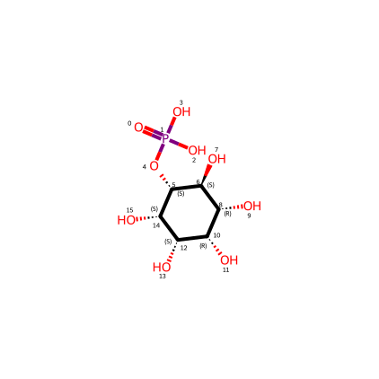 O=P(O)(O)O[C@@H]1[C@@H](O)[C@H](O)[C@H](O)[C@H](O)[C@@H]1O